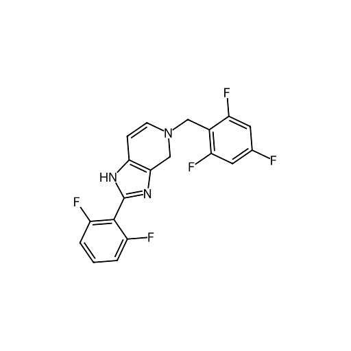 Fc1cc(F)c(CN2C=Cc3[nH]c(-c4c(F)cccc4F)nc3C2)c(F)c1